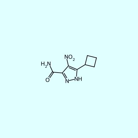 NC(=O)c1n[nH]c(C2CCC2)c1[N+](=O)[O-]